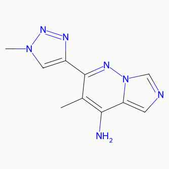 Cc1c(-c2cn(C)nn2)nn2cncc2c1N